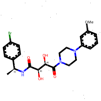 COc1cccc(N2CCN(C(=O)[C@H](O)[C@@H](O)C(=O)N[C@@H](C)c3ccc(Br)cc3)CC2)c1